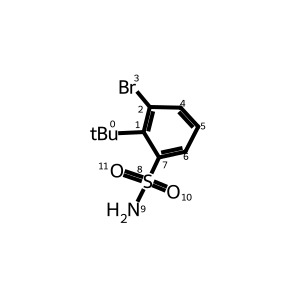 CC(C)(C)c1c(Br)cccc1S(N)(=O)=O